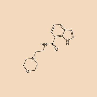 O=C(NCCN1CCOCC1)c1cccc2[c]c[nH]c12